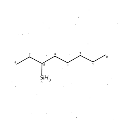 CCCCCC([SiH3])CC